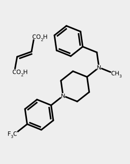 CN(Cc1ccccc1)C1CCN(c2ccc(C(F)(F)F)cc2)CC1.O=C(O)/C=C/C(=O)O